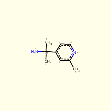 Cc1cc(C(C)(C)N)ccn1